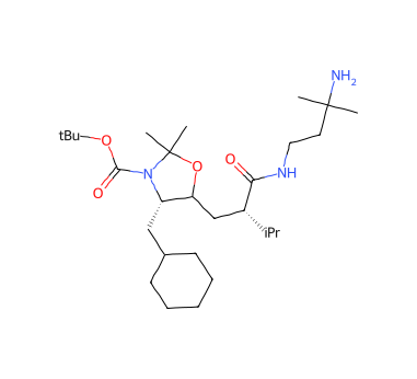 CC(C)[C@H](CC1OC(C)(C)N(C(=O)OC(C)(C)C)[C@H]1CC1CCCCC1)C(=O)NCCC(C)(C)N